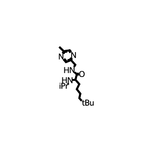 Cc1cnc(CNC(=O)C(CCCCC(C)(C)C)NC(C)C)cn1